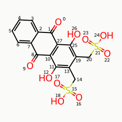 O=C1c2ccccc2C(=O)c2c(O)c(CS(=O)(=O)O)c(CS(=O)(=O)O)c(O)c21